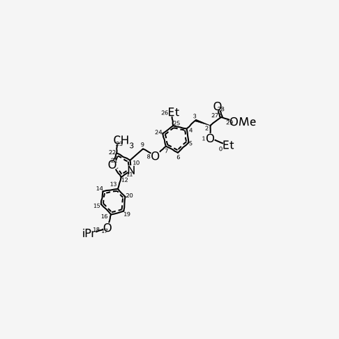 CCO[C@@H](Cc1ccc(OCc2nc(-c3ccc(OC(C)C)cc3)oc2C)cc1CC)C(=O)OC